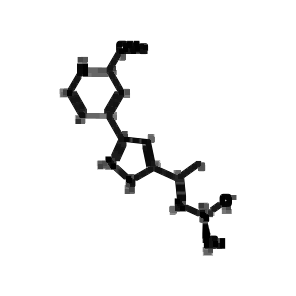 COc1cc(-c2cc(/C(C)=N/[S@@+]([O-])C(C)(C)C)sn2)ccn1